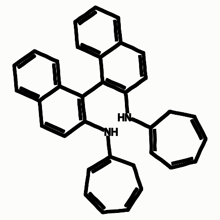 C1=CC=C(Nc2ccc3ccccc3c2-c2c(NC3=CC=CC=CC3)ccc3ccccc23)CC=C1